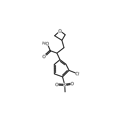 CS(=O)(=O)c1ccc(C(CC2COC2)C(=O)O)cc1Cl